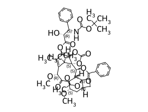 CO[C@H]1C(=O)C2[C@@H](OC)C[C@H]3CC[C@@]3(OC(C)=O)[C@H]2[C@H](OC(=O)c2ccccc2)[C@]23OC(=O)O[C@H]2[C@H](OC(=O)[C@H](O)[C@@H](NC(=O)OC(C)(C)C)c2ccccc2)C(C)=C1C3(C)C